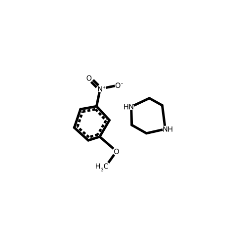 C1CNCCN1.COc1cccc([N+](=O)[O-])c1